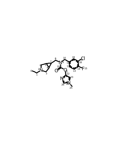 CCN1CC2C(C1)C2CN(Cc1ccc(F)c(Cl)c1)C(=O)Oc1cn(C)cn1